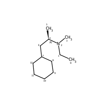 CCN(C)[C@H](C)CC1CCCCC1